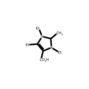 CCC1=C(C(=O)O)N(CC)C(C)N1CC